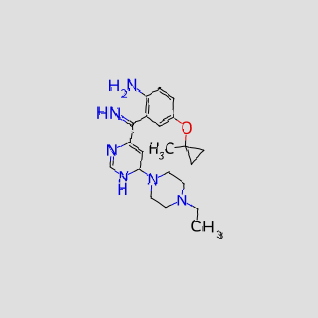 CCN1CCN(C2C=C(C(=N)c3cc(OC4(C)CC4)ccc3N)N=CN2)CC1